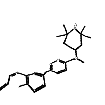 C=C/C=N\c1cc(-c2ccc(N(C)C3CC(C)(C)NC(C)(C)C3)nn2)ccc1C